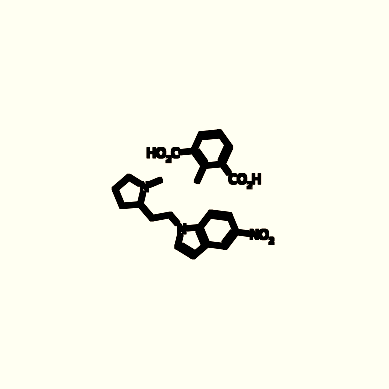 CN1CCCC1CCn1ccc2cc([N+](=O)[O-])ccc21.Cc1c(C(=O)O)cccc1C(=O)O